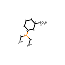 CC(C)CP(CC(C)C)C1CCCC(S(=O)(=O)O)C1